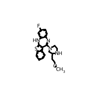 COCCC1CN(C2=Nc3ccc(F)cc3Nc3sc4ccccc4c32)CCN1